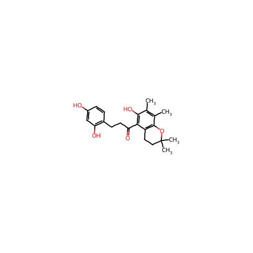 Cc1c(C)c2c(c(C(=O)CCc3ccc(O)cc3O)c1O)CCC(C)(C)O2